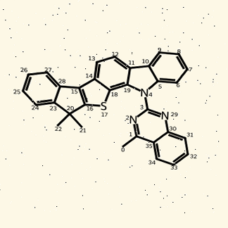 Cc1nc(-n2c3ccccc3c3ccc4c5c(sc4c32)C(C)(C)c2ccccc2-5)nc2ccccc12